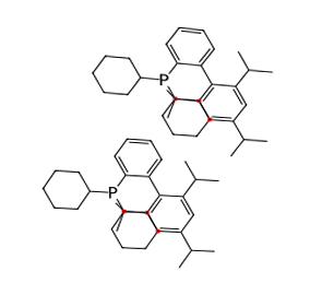 CC(C)c1cc(C(C)C)c(-c2ccccc2P(C2CCCCC2)C2CCCCC2)c(C(C)C)c1.CC(C)c1cc(C(C)C)c(-c2ccccc2P(C2CCCCC2)C2CCCCC2)c(C(C)C)c1